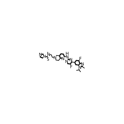 Cc1nc2c(F)cc(-c3nc(Nc4ccc5c(n4)CCN(CCN(C)C(=S)n4ccnc4)C5)ncc3F)cc2n1C(C)C